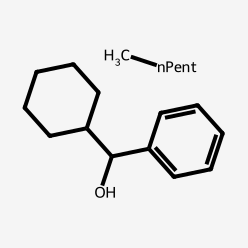 CCCCCC.OC(c1ccccc1)C1CCCCC1